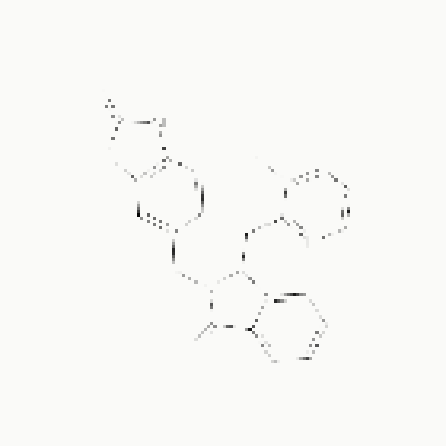 O=C1c2ccccc2C(Cc2ncccc2Br)N1Cc1ccc2[nH]c(=O)oc2c1